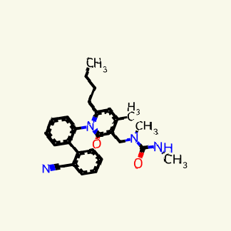 CCCCc1cc(C)c(CN(C)C(=O)NC)c(=O)n1-c1ccccc1-c1ccccc1C#N